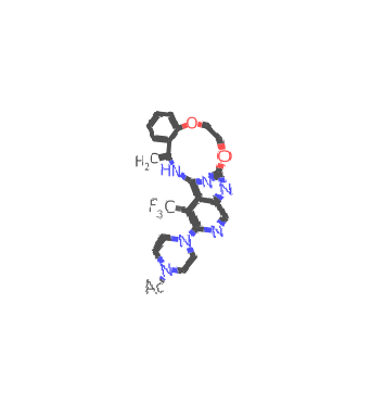 C=C1Nc2nc(nc3cnc(N4CCN(C(C)=O)CC4)c(C(F)(F)F)c23)OCCOc2ccccc21